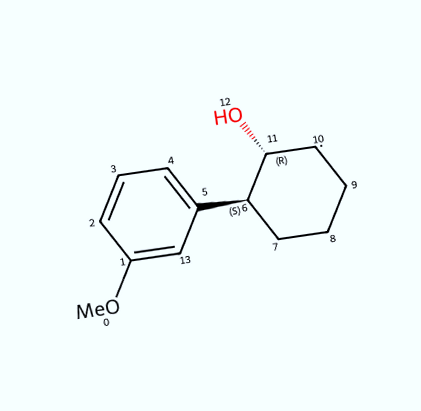 COc1cccc([C@@H]2CCC[CH][C@H]2O)c1